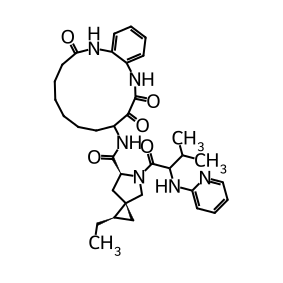 CC[C@@H]1C[C@]12C[C@@H](C(=O)NC1CCCCCCC(=O)Nc3ccccc3NC(=O)C1=O)N(C(=O)C(Nc1ccccn1)C(C)C)C2